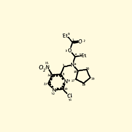 CCC(=O)OC(CC)N(Cc1nc(Cl)ncc1[N+](=O)[O-])C1CCCC1